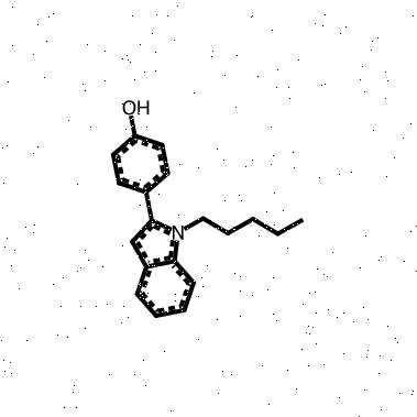 CCCCCn1c(-c2ccc(O)cc2)cc2ccccc21